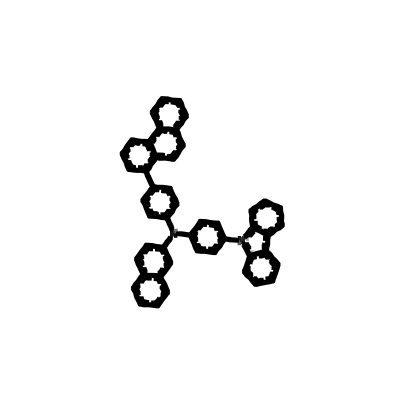 c1ccc2cc(N(c3ccc(-c4cccc5c4ccc4ccccc45)cc3)c3ccc(-n4c5ccccc5c5ccccc54)cc3)ccc2c1